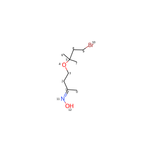 C/C(CCOC(C)(C)CCBr)=N\O